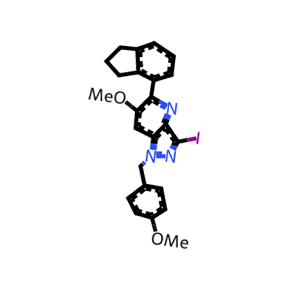 COc1ccc(Cn2nc(I)c3nc(-c4cccc5c4CCC5)c(OC)cc32)cc1